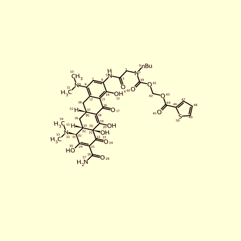 CCCCN(CC(=O)Nc1cc(N(C)C)c2c(c1O)C(=O)C1=C(O)[C@]3(O)C(=O)C(C(N)=O)=C(O)[C@@H](N(C)C)[C@@H]3C[C@@H]1C2)C(=O)OCOC(=O)c1cccs1